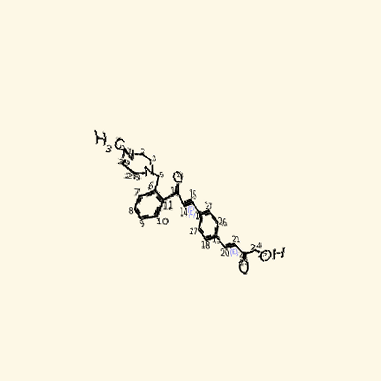 CN1CCN(Cc2ccccc2C(=O)/C=C/c2ccc(/C=C/C(=O)CO)cc2)CC1